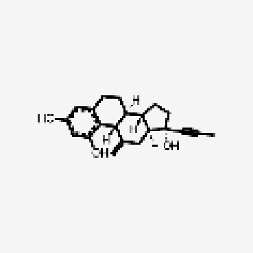 C=C1C[C@H]2[C@@H](CC[C@@]2(O)C#CC)[C@@H]2CCc3cc(O)cc(O)c3[C@@H]12